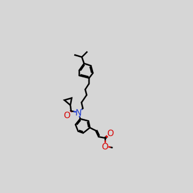 COC(=O)/C=C/c1cccc(N(CCCCCc2ccc(C(C)C)cc2)C(=O)C2CC2)c1